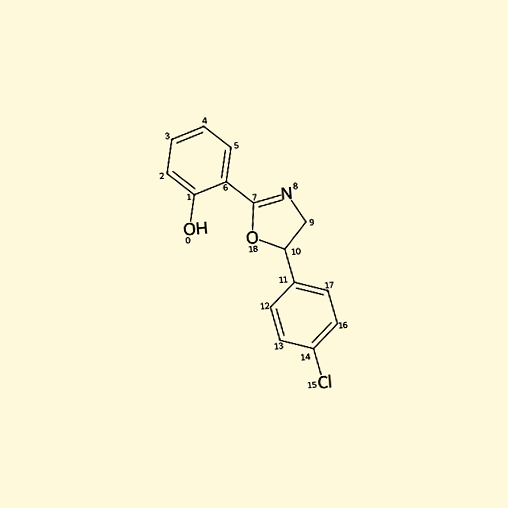 Oc1ccccc1C1=NCC(c2ccc(Cl)cc2)O1